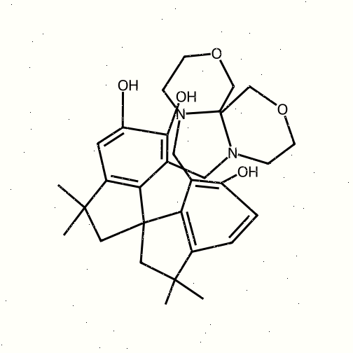 CC1(C)CC2(CC(C)(C)c3cc(O)c(O)c(CN4CCOCC4)c32)c2c1ccc(O)c2CN1CCOCC1